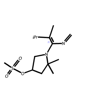 C=N/C(=C(\C)C(C)C)N1CC(OS(C)(=O)=O)CC1(C)C